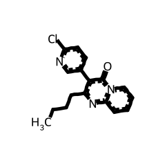 CCCCc1nc2ccccn2c(=O)c1-c1ccc(Cl)nc1